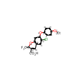 CCOc1ccc(Oc2cc3c(cc2Cl)C=C(C(=O)O)C(C(F)(F)F)O3)cc1